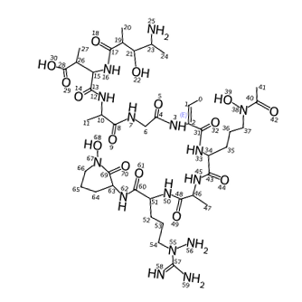 C/C=C(/NC(=O)CNC(=O)C(C)NC(=O)C(NC(=O)C(C)C(O)C(C)N)C(C)C(=O)O)C(=O)NC(CCCN(O)C(C)=O)C(=O)NC(C)C(=O)NC(CCCN(N)C(=N)N)C(=O)NC1CCCN(O)C1=O